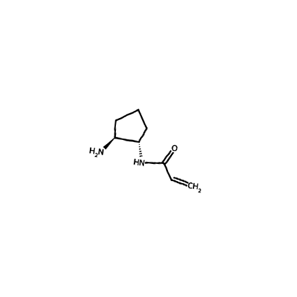 C=CC(=O)N[C@H]1CCC[C@@H]1N